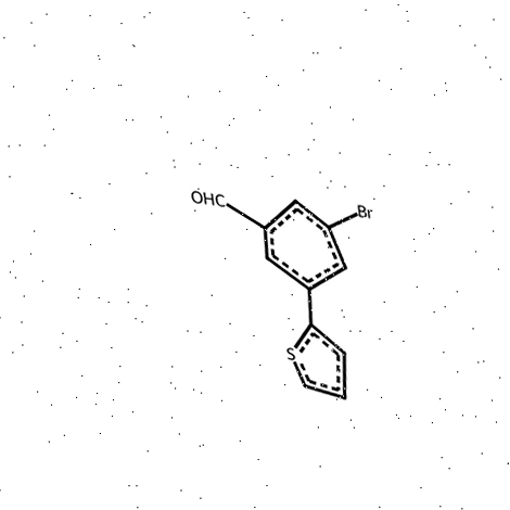 O=Cc1cc(Br)cc(-c2cccs2)c1